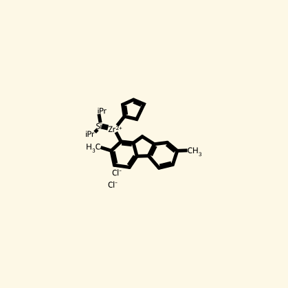 Cc1ccc2c(c1)Cc1c-2ccc(C)[c]1[Zr+2]([C]1=CC=CC1)=[Si](C(C)C)C(C)C.[Cl-].[Cl-]